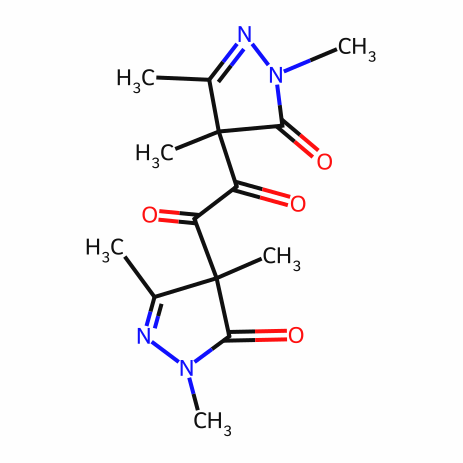 CC1=NN(C)C(=O)C1(C)C(=O)C(=O)C1(C)C(=O)N(C)N=C1C